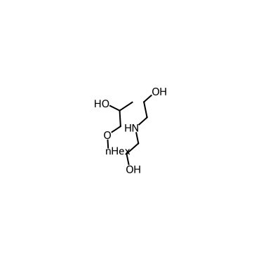 CCCCCCOCC(C)O.OCCNCCO